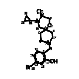 O=C1COC2(CCN(Cc3ccc(Br)cc3O)CC2)CN1C1CC1